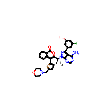 CC(c1oc(=O)c2ccccc2c1-c1ccc(CN2CCOCC2)s1)n1nc(-c2cc(O)cc(F)c2)c2c(N)ncnc21